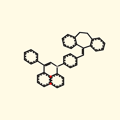 C(=C(c1ccccc1)c1ccccc1)N(c1ccccc1)c1ccc(C=C2c3ccccc3CCc3ccccc32)cc1